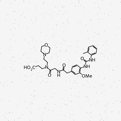 COc1cc(CC(=O)NCC(=O)N(CCC(=O)O)CCN2CCOCC2)ccc1NC(=O)Nc1ccccc1C